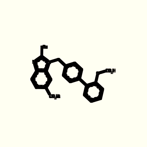 CCCCc1nc2ccc(C(=O)OCC)cc2n1Cc1ccc(-c2ccccc2OC(=O)O)cc1